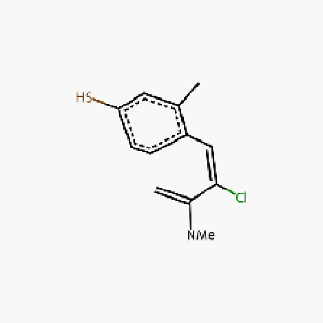 C=C(NC)/C(Cl)=C\c1ccc(S)cc1C